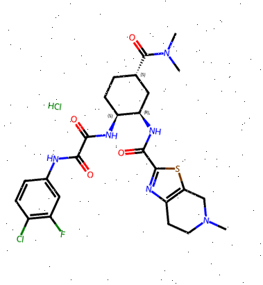 CN1CCc2nc(C(=O)N[C@@H]3C[C@@H](C(=O)N(C)C)CC[C@@H]3NC(=O)C(=O)Nc3ccc(Cl)c(F)c3)sc2C1.Cl